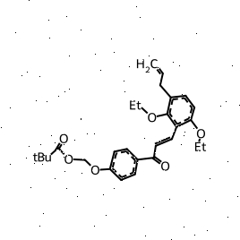 C=CCc1ccc(OCC)c(C=CC(=O)c2ccc(OCOC(=O)C(C)(C)C)cc2)c1OCC